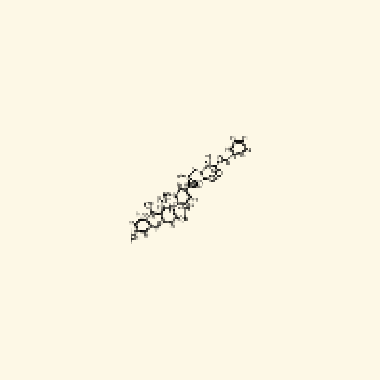 C[C@@H](CC(NC(=O)OCc1ccccc1)C(=O)O)Oc1cc(F)c(-n2c(N)c(C(=O)c3ccc(F)cc3F)ccc2=O)c(F)c1